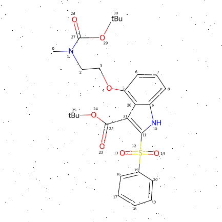 CN(CCOc1cccc2[nH]c(S(=O)(=O)c3ccccc3)c(C(=O)OC(C)(C)C)c12)C(=O)OC(C)(C)C